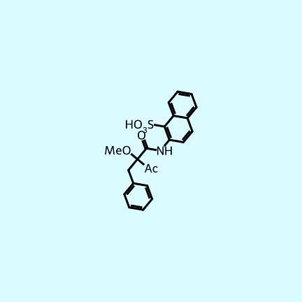 COC(Cc1ccccc1)(C(C)=O)C(=O)Nc1ccc2ccccc2c1S(=O)(=O)O